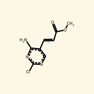 COC(=O)/C=C/c1cnc(Cl)nc1N